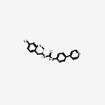 O=C(Nc1ccc(-c2ccncc2)cc1)N[C@@H](CO)Cc1ccc(Cl)cc1